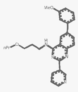 CCCOCCCNc1nc(-c2cccnc2)nc2ccc(-c3cccc(OC)c3)cc12